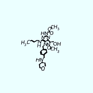 CCCCNc1nc(NC(=O)OC)nc2c(CO)nn(Cc3ccc(CNC4CCOCC4)cc3OC)c12